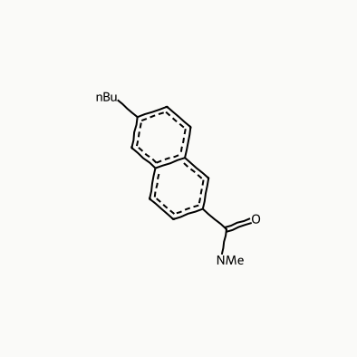 CCCCc1ccc2cc(C(=O)NC)ccc2c1